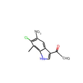 Cc1c(Cl)c([N+](=O)[O-])cc2c(C(=O)C=O)c[nH]c12